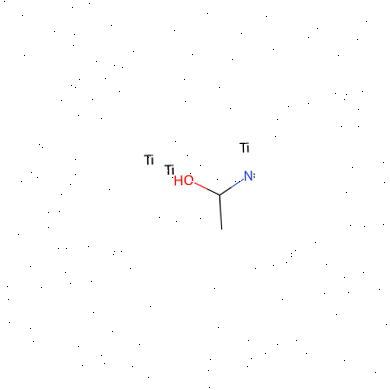 CC([N])O.[Ti].[Ti].[Ti]